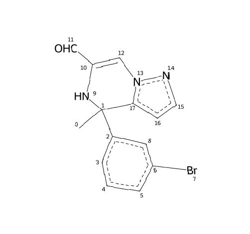 CC1(c2cccc(Br)c2)NC(C=O)=Cn2nccc21